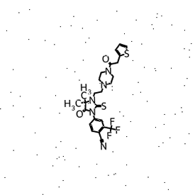 CC1(C)C(=O)N(c2ccc(C#N)c(C(F)(F)F)c2)C(=S)N1CCN1CCN(C(=O)Cc2cccs2)CC1